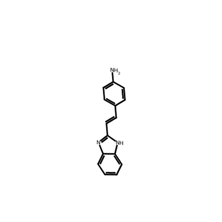 Nc1ccc(C=Cc2nc3ccccc3[nH]2)cc1